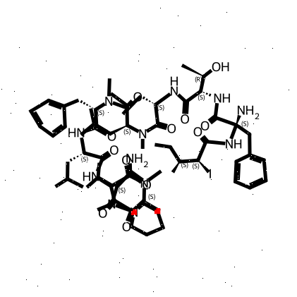 CC[C@H](C)[C@H](I)C(=O)N[C@@](N)(Cc1ccccc1)C(=O)N[C@H](C(=O)N[C@@H](CC(C)C)C(=O)N(C)[C@@H](CC(C)C)C(=O)N(C)[C@@H](Cc1ccccc1)C(=O)N[C@@H](CC(C)C)C(=O)NC(C(=O)N1CCCCC1)C(=O)N(C)[C@@H](C)C(=O)N(C)[C@H](C(N)=O)C(C)C)[C@@H](C)O